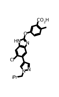 Cc1ccc(Oc2nc3cc(-c4cnn(CC(C)C)c4)c(Cl)cc3[nH]2)cc1C(=O)O